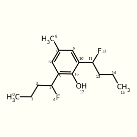 CCCC(F)c1cc(C)cc(C(F)CCC)c1O